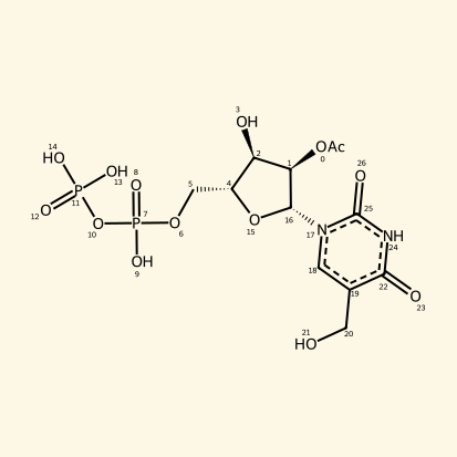 CC(=O)O[C@@H]1[C@H](O)[C@@H](COP(=O)(O)OP(=O)(O)O)O[C@H]1n1cc(CO)c(=O)[nH]c1=O